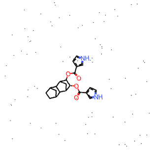 O=C(OC1C2CC(C1OC(=O)c1cc[nH]c1)C1C3CCC(C3)C21)c1cc[nH]c1